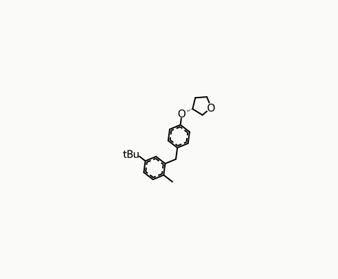 Cc1ccc(C(C)(C)C)cc1Cc1ccc(O[C@@H]2CCOC2)cc1